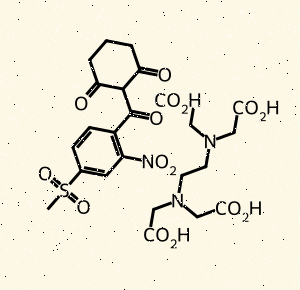 CS(=O)(=O)c1ccc(C(=O)C2C(=O)CCCC2=O)c([N+](=O)[O-])c1.O=C(O)CN(CCN(CC(=O)O)CC(=O)O)CC(=O)O